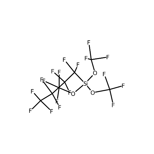 FC(F)(F)O[Si](OC(F)(F)F)(OC(F)(F)F)C(F)(F)C(F)(F)C(F)(F)C(F)(F)F